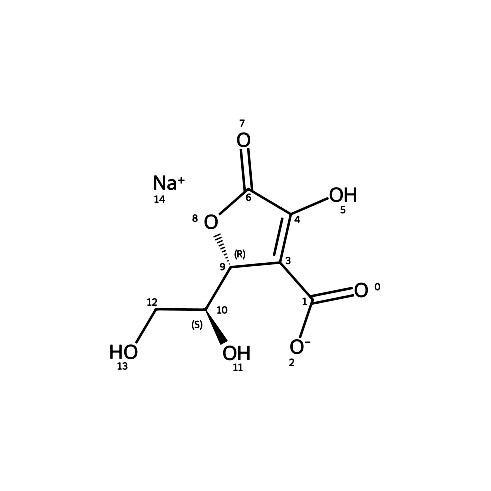 O=C([O-])C1=C(O)C(=O)O[C@H]1[C@@H](O)CO.[Na+]